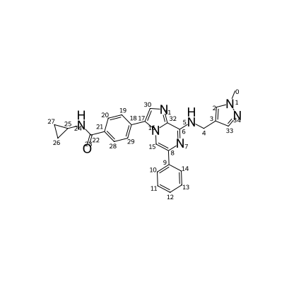 Cn1cc(CNc2nc(-c3ccccc3)cn3c(-c4ccc(C(=O)NC5CC5)cc4)cnc23)cn1